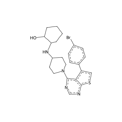 OC1CCCCC1NC1CCN(c2ncnc3scc(-c4ccc(Br)cc4)c23)CC1